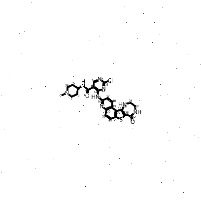 CN1CCC(NC(=O)c2cnc(Cl)nc2Nc2ccc3c(ccc4sc5c(c43)NCCNC5=O)n2)CC1